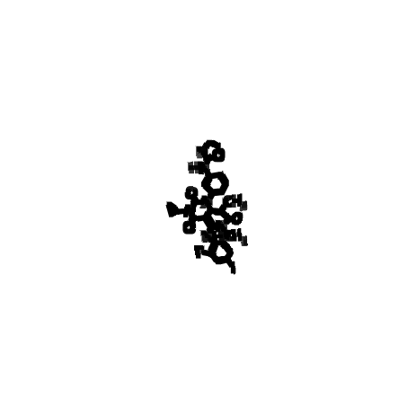 Cc1c(=O)n(C)c(Nc2ccc(I)cc2F)c2c(=O)n(C3CC3)c(=O)n(-c3cccc(NC4=NCCO4)c3)c12